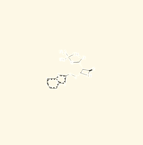 CCC(O[Si](C)(C)C(C)(C)C)[C@@H]1C(=O)N[C@@H]1SSc1nc2ccccc2s1